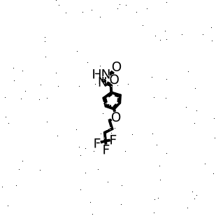 O=c1[nH]nc(-c2ccc(OCCCC(F)(F)F)cc2)o1